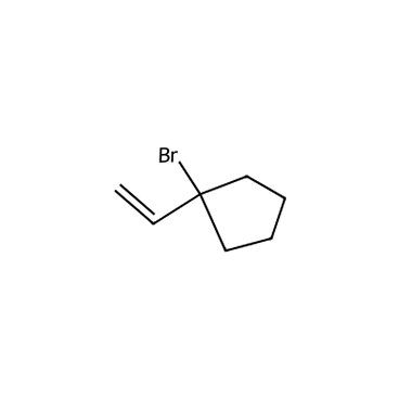 C=CC1(Br)CCCC1